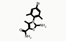 CC1=C(C(N)=O)SC(N)N1c1c(C)cc(Br)cc1C